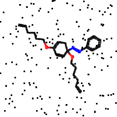 C=CCCCCOC1=CCC(N=Nc2ccccc2)(OCCCCC=C)C=C1